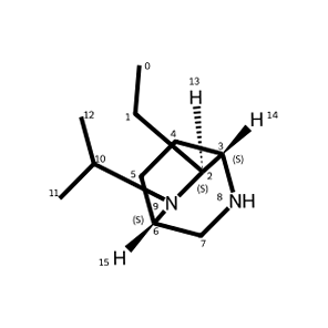 CC[C@H]1[C@@H]2CC[C@@H](CN2)N1C(C)C